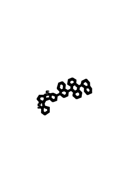 c1ccc2c(-c3c4ccccc4c(-c4ccc(-c5ccc6c(c5)sc5ccc7sc8ccccc8c7c56)c5ccccc45)c4ccccc34)cccc2c1